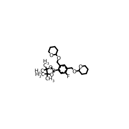 CC1(C)OB(c2cc(F)c(COC3CCCCO3)cc2COC2CCCCO2)OC1(C)C